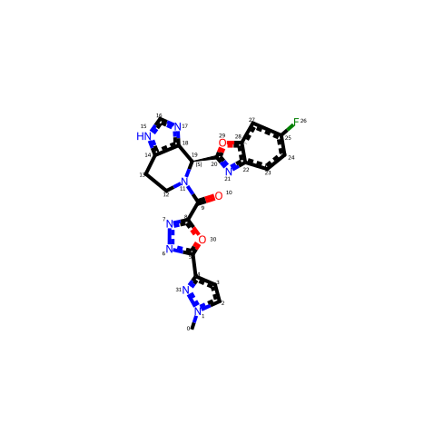 Cn1ccc(-c2nnc(C(=O)N3CCc4[nH]cnc4[C@H]3c3nc4ccc(F)cc4o3)o2)n1